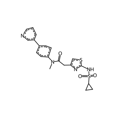 CN(C(=O)Cc1csc(NS(=O)(=O)C2CC2)n1)c1ccc(-c2cccnc2)cc1